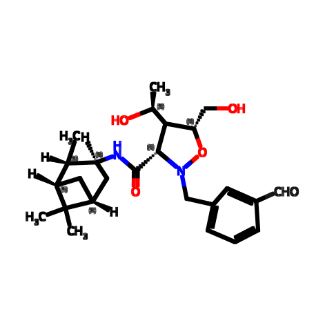 C[C@@H]1[C@@H](NC(=O)[C@@H]2C([C@H](C)O)[C@H](CO)ON2Cc2cccc(C=O)c2)C[C@H]2C[C@@H]1C2(C)C